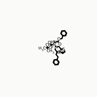 CC(C)(C)OC(=O)N(NC(=O)OCc1ccccc1)N(Cc1nccs1)C[C@@H](O)CCc1ccccc1